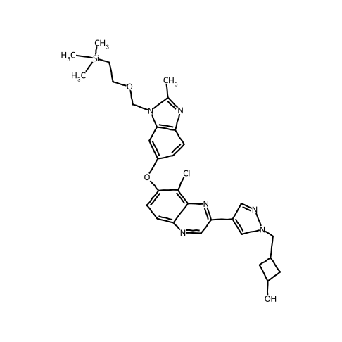 Cc1nc2ccc(Oc3ccc4ncc(-c5cnn(CC6CC(O)C6)c5)nc4c3Cl)cc2n1COCC[Si](C)(C)C